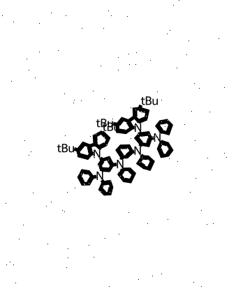 CC(C)(C)c1ccc2c(c1)c1cc(C(C)(C)C)ccc1n2-c1cc(N(c2ccccc2)c2ccccc2)cc(N(c2ccccc2)c2cccc(N(c3ccccc3)c3cc(N(c4ccccc4)c4ccccc4)cc(-n4c5ccc(C(C)(C)C)cc5c5cc(C(C)(C)C)ccc54)c3)c2)c1